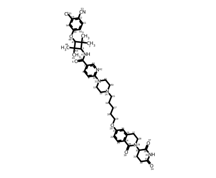 CC1(C)C(NC(=O)c2ccc(N3CCN(CCCCCOc4ccc5c(c4)CCN(C4CCC(=O)NC4=O)C5=O)CC3)nc2)C(C)(C)C1Oc1ccc(C#N)c(Cl)c1